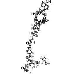 CC(C)[C@H](NC(=O)CCN1C(=O)C=CC1O)C(=O)N[C@@H](CCCNC(N)=O)C(=O)Nc1ccc(COC(=O)NCCCC(=O)Nc2ncnc3c2ncn3[C@@H]2O[C@@H]3CO[P@@](=O)(S)O[C@H]4[C@@H](F)[C@H](n5cnc6c(N)ncnc65)O[C@@H]4CO[P@@](=O)(S)O[C@H]3[C@H]2F)cc1